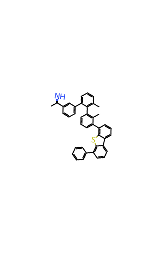 CC(=N)c1cccc(-c2cccc(C)c2-c2cccc(-c3cccc4c3sc3c(-c5ccccc5)cccc34)c2C)c1